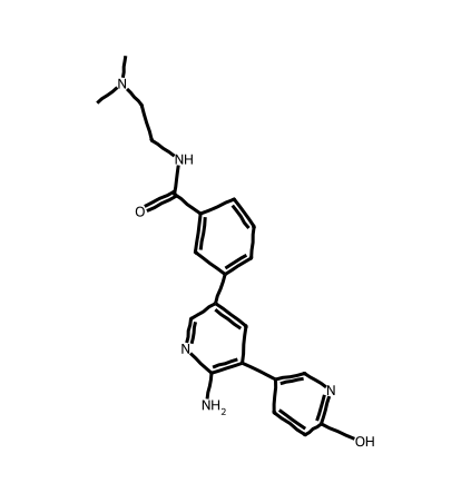 CN(C)CCNC(=O)c1cccc(-c2cnc(N)c(-c3ccc(O)nc3)c2)c1